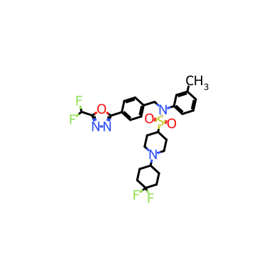 Cc1cccc(N(Cc2ccc(-c3nnc(C(F)F)o3)cc2)S(=O)(=O)C2CCN(C3CCC(F)(F)CC3)CC2)c1